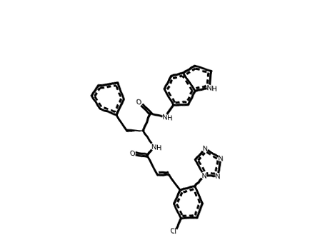 O=C(/C=C/c1cc(Cl)ccc1-n1cnnn1)N[C@@H](Cc1ccccc1)C(=O)Nc1ccc2cc[nH]c2c1